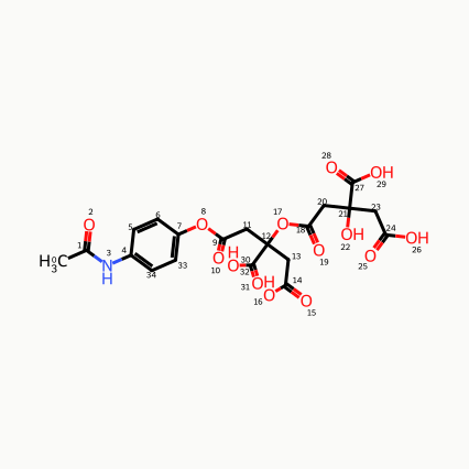 CC(=O)Nc1ccc(OC(=O)CC(CC(=O)O)(OC(=O)CC(O)(CC(=O)O)C(=O)O)C(=O)O)cc1